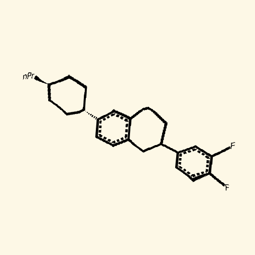 CCC[C@H]1CC[C@H](c2ccc3c(c2)CCC(c2ccc(F)c(F)c2)C3)CC1